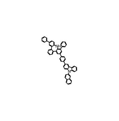 c1ccc(-c2ccc3c(c2)-c2ccccc2-c2cc(-c4ccc(-c5ccc6c(c5)c5ccccc5n6-c5ccc6ccccc6c5)cc4)cc(-c4ccccc4)c2N3)cc1